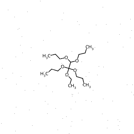 CCCOC(OCCC)C(OCC)(OCCC)OCCC